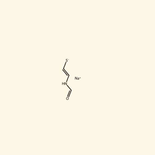 O=CNC=C[S-].[Na+]